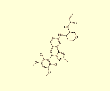 C=CC(=O)N[C@H]1COCC[C@H]1Nc1ncc2cc(-c3c(Cl)c(OC)cc(OC)c3Cl)c3nc(C)nn3c2n1